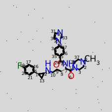 CN1CCN(C(=O)[C@H](CCCN[C@@H]2C[C@H]2c2ccc(F)cc2)NC(=O)c2ccc(-n3ccnc3)cc2)CC1